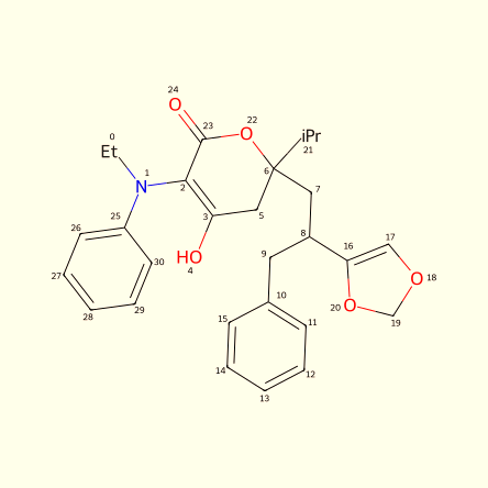 CCN(C1=C(O)CC(CC(Cc2ccccc2)C2=COCO2)(C(C)C)OC1=O)c1ccccc1